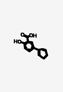 O=C(O)c1cc(C2=CCCC=C2)ccc1O